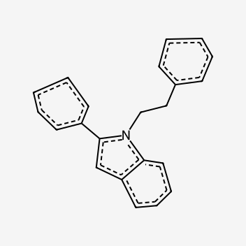 c1ccc(CCn2c(-c3ccccc3)cc3ccccc32)cc1